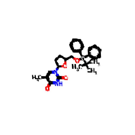 Cc1cn(C2CCC(CO[Si](c3ccccc3)(c3ccccc3)C(C)(C)C)O2)c(=O)[nH]c1=O